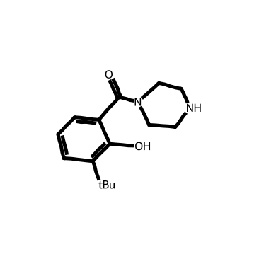 CC(C)(C)c1cccc(C(=O)N2CCNCC2)c1O